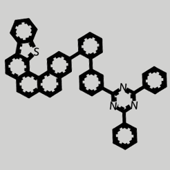 c1ccc(-c2nc(-c3ccccc3)nc(-c3cccc(-c4ccccc4-c4ccc5c(ccc6ccc7ccc8c9ccccc9sc8c7c65)c4)c3)n2)cc1